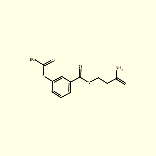 C=C(N)CCNC(=O)c1cccc(SC(=O)C(C)(C)C)c1